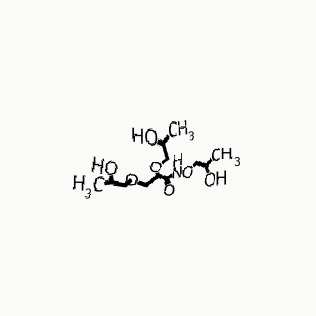 CC(O)COCC(OCC(C)O)C(=O)NOCC(C)O